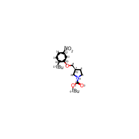 CC(C)(C)OC(=O)N1CC[C@H](COc2cc([N+](=O)[O-])ccc2C(C)(C)C)C1